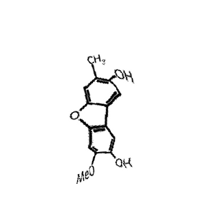 COc1cc2oc3cc(C)c(O)cc3c2cc1O